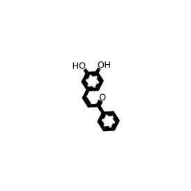 O=C(/C=C\c1ccc(O)c(O)c1)c1ccccc1